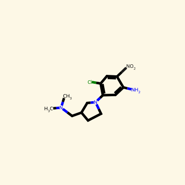 CN(C)CC1CCN(c2cc(N)c([N+](=O)[O-])cc2Cl)C1